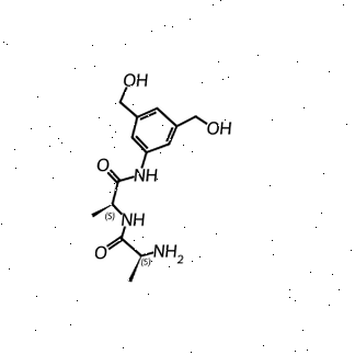 C[C@H](N)C(=O)N[C@@H](C)C(=O)Nc1cc(CO)cc(CO)c1